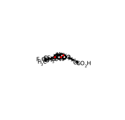 C[C@]12CC[C@@H]3c4ccc(OCCCCOCC(=O)O)cc4CC[C@H]3[C@@H]1CC[C@@H]2OCCCOC(C(F)(F)F)(C(F)(F)F)C(F)(F)F